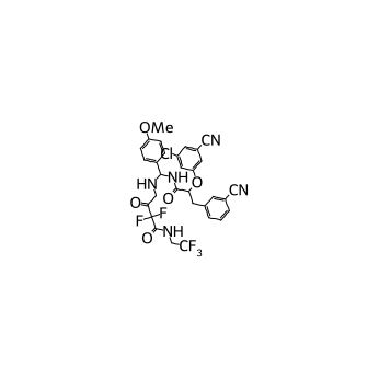 COc1ccc(C(NCC(=O)C(F)(F)C(=O)NCC(F)(F)F)NC(=O)C(Cc2cccc(C#N)c2)Oc2cc(Cl)cc(C#N)c2)cc1